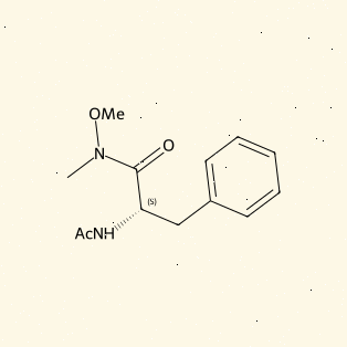 CON(C)C(=O)[C@H](Cc1ccccc1)NC(C)=O